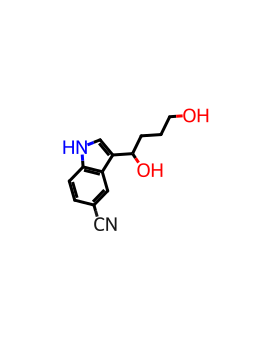 N#Cc1ccc2[nH]cc(C(O)CCCO)c2c1